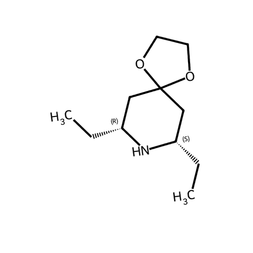 CC[C@@H]1CC2(C[C@H](CC)N1)OCCO2